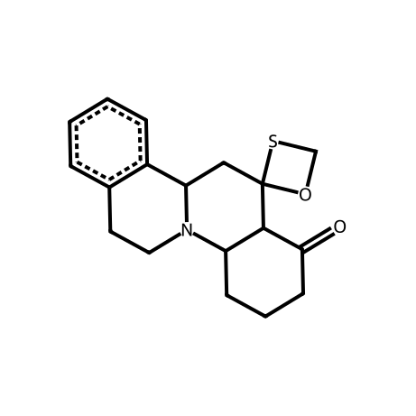 O=C1CCCC2C1C1(CC3c4ccccc4CCN32)OCS1